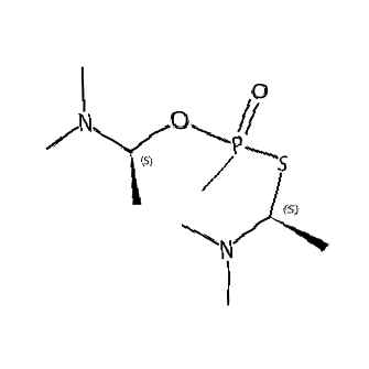 C[C@H](OP(C)(=O)S[C@@H](C)N(C)C)N(C)C